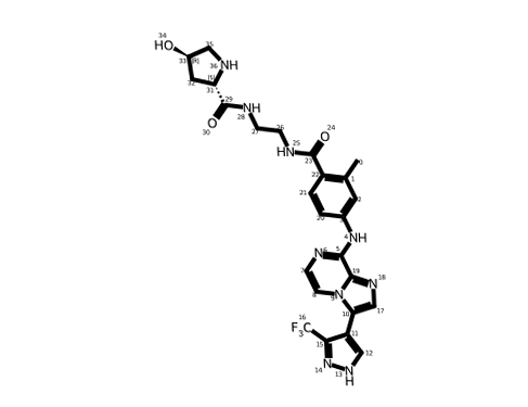 Cc1cc(Nc2nccn3c(-c4c[nH]nc4C(F)(F)F)cnc23)ccc1C(=O)NCCNC(=O)[C@@H]1C[C@@H](O)CN1